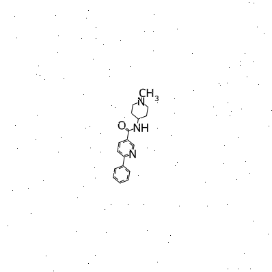 CN1CCC(NC(=O)c2ccc(-c3ccccc3)nc2)CC1